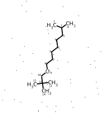 CC(C)CCCCCCOCC(C)(C)C